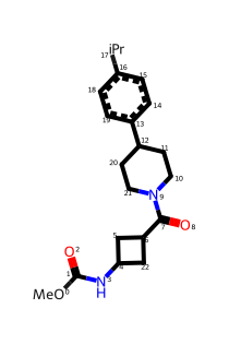 COC(=O)NC1CC(C(=O)N2CCC(c3ccc(C(C)C)cc3)CC2)C1